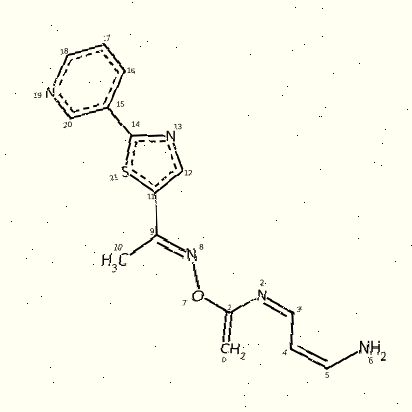 C=C(/N=C\C=C/N)O/N=C(\C)c1cnc(-c2cccnc2)s1